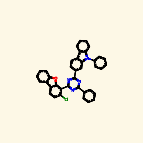 Clc1ccc2c(oc3ccccc32)c1-c1nc(-c2ccccc2)nc(-c2ccc3c4ccccc4n(-c4ccccc4)c3c2)n1